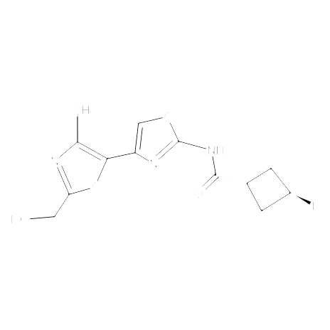 Cc1nc(CO)sc1-c1csc(NC(=O)[C@H]2C[C@H](F)C2)n1